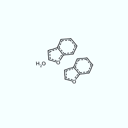 O.c1ccc2occc2c1.c1ccc2occc2c1